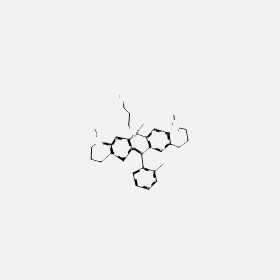 Cc1ccccc1C1=c2cc3c(cc2[Si](C)(CCCCl)c2cc4c(cc21)CCCN4C)=[N+](C)CCC3